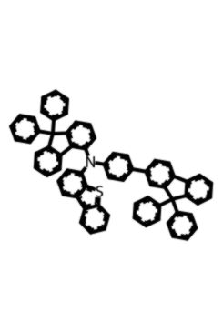 c1ccc(C2(c3ccccc3)c3ccccc3-c3ccc(-c4ccc(N(c5cccc6c5-c5ccccc5C6(c5ccccc5)c5ccccc5)c5cccc6c5sc5ccccc56)cc4)cc32)cc1